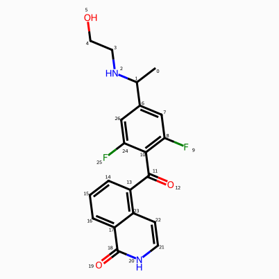 CC(NCCO)c1cc(F)c(C(=O)c2cccc3c(=O)[nH]ccc23)c(F)c1